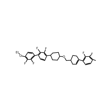 CCOc1ccc(-c2ccc(C3CCC(OCC4CC=C(c5ccc(C)c(F)c5F)CC4)CC3)c(F)c2F)c(F)c1F